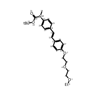 [CH2]COCCOCCOc1ccc(C=Cc2ccc(N(C)C(=O)OC(C)(C)C)cc2)cc1